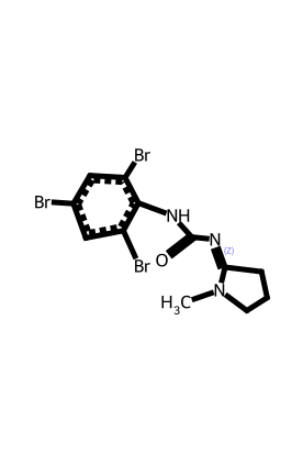 CN1CCC/C1=N/C(=O)Nc1c(Br)cc(Br)cc1Br